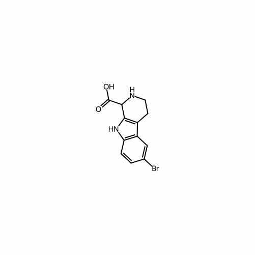 O=C(O)C1NCCc2c1[nH]c1ccc(Br)cc21